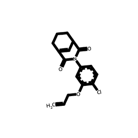 C=CCOc1cc(N2C(=O)C3=CC(CCC3)C2=O)ccc1Cl